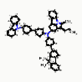 C=C/C=c1\c(=C)n2c3ccccc3c3cc(N(c4ccc(-c5ccc(-n6c7ccccc7c7ccccc76)cc5)cc4)c4ccc(-c5ccc6c(c5)C(C)(C)c5ccccc5-6)cc4)cc1c32